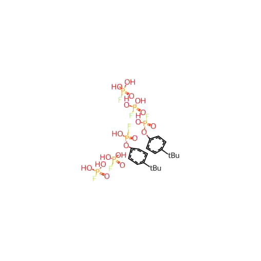 CC(C)(C)c1ccc(OP(=O)(O)F)cc1.CC(C)(C)c1ccc(OP(=O)(O)F)cc1.O=P(O)(O)F.O=P(O)(O)F.O=P(O)(O)F.O=P(O)(O)F